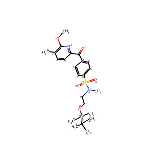 COc1nc(C(=O)c2ccc(S(=O)(=O)N(C)CCO[Si](C)(C)C(C)(C)C)cc2)ccc1C